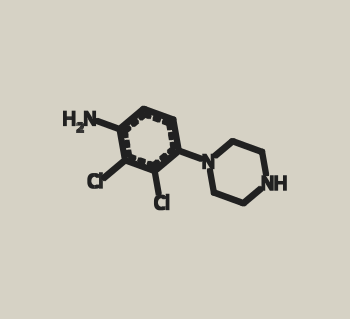 Nc1ccc(N2CCNCC2)c(Cl)c1Cl